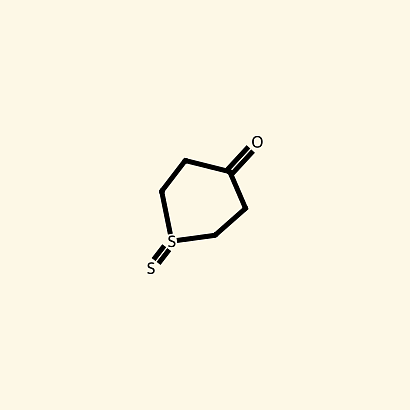 O=C1CCS(=S)CC1